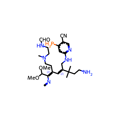 C=N/C(=C(\C=C(/CNc1cc(P)c(C#N)cn1)C(C)(C)CCN)CCN(C)CCNC=O)C(OC)OC